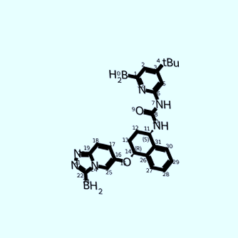 Bc1cc(C(C)(C)C)cc(NC(=O)N[C@H]2CC[C@@H](Oc3ccc4nnc(B)n4c3)c3ccccc32)n1